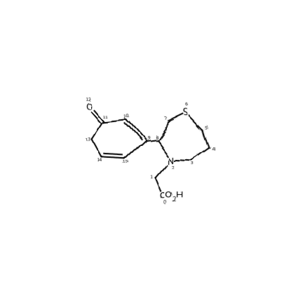 O=C(O)CN1CCCSCC1C1=CC(=O)CC=C1